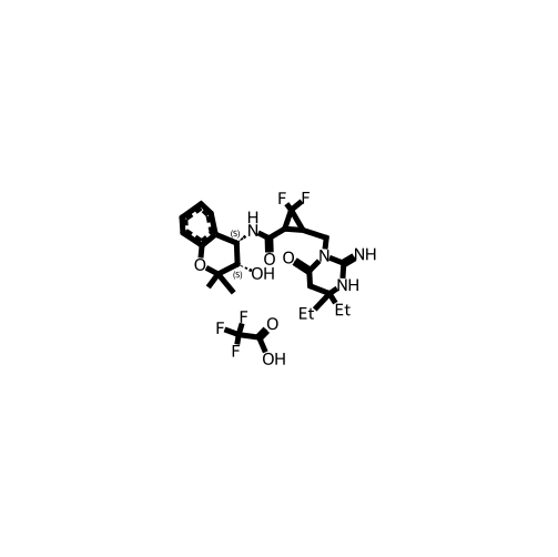 CCC1(CC)CC(=O)N(CC2C(C(=O)N[C@H]3c4ccccc4OC(C)(C)[C@H]3O)C2(F)F)C(=N)N1.O=C(O)C(F)(F)F